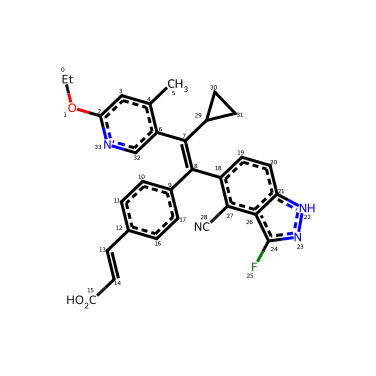 CCOc1cc(C)c(/C(=C(\c2ccc(/C=C/C(=O)O)cc2)c2ccc3[nH]nc(F)c3c2C#N)C2CC2)cn1